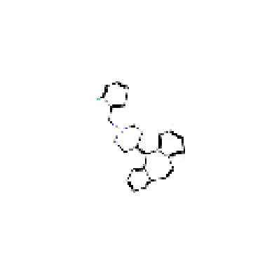 Fc1ccccc1CN1CCC(=C2c3ccccc3C=Cc3ccccc32)CC1